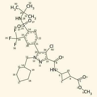 COC(=O)C1CC(NC(=O)c2nn(CC3CCCCC3)c(-c3ccc(S(=O)(=O)NC(C)(C)C)c(C(F)(F)F)c3)c2Cl)C1